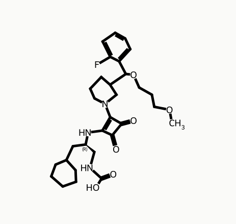 COCCCOC(c1ccccc1F)C1CCCN(c2c(N[C@@H](CNC(=O)O)CC3CCCCC3)c(=O)c2=O)C1